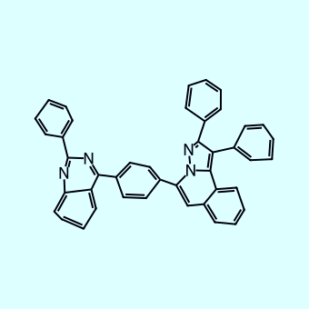 c1ccc(-c2nc(-c3ccc(-c4cc5ccccc5c5c(-c6ccccc6)c(-c6ccccc6)nn45)cc3)c3ccccc3n2)cc1